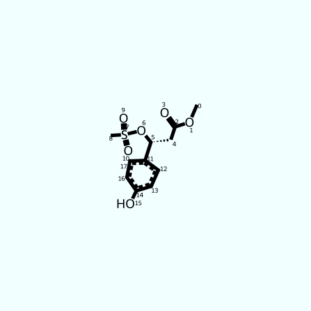 COC(=O)C[C@@H](OS(C)(=O)=O)c1ccc(O)cc1